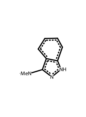 C[N]c1n[nH]c2ccccc12